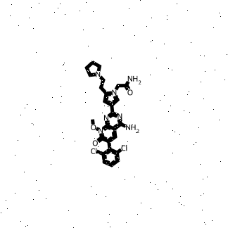 COn1c(=O)c(-c2c(Cl)cccc2Cl)cc2c(N)nc(-c3cc(CCN4CCCC4)n(CC(N)=O)c3)nc21